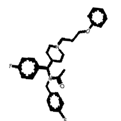 CC(=O)N(Cc1ccc(F)cc1)C(c1ccc(F)cc1)C1CCN(CCCOc2ccccc2)CC1